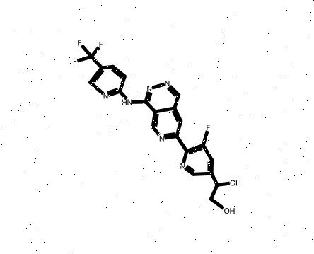 OCC(O)c1cnc(-c2cc3cnnc(Nc4ccc(C(F)(F)F)cn4)c3cn2)c(F)c1